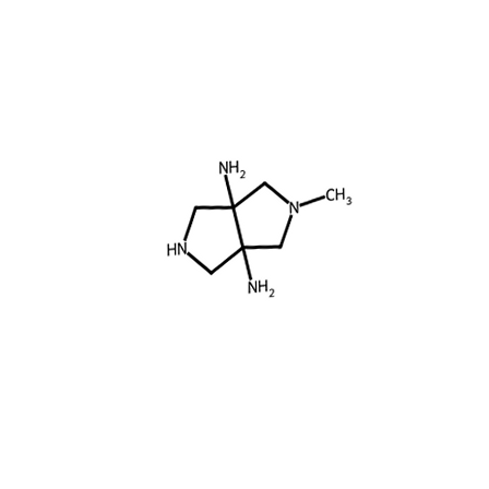 CN1CC2(N)CNCC2(N)C1